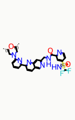 C[C@@H]1CN(c2cccc(-c3ccc4cnc(CNC(=O)c5cc([S@](=N)(=O)C(F)F)ccn5)cc4n3)n2)C[C@H](C)O1